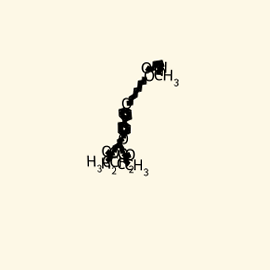 C=C(C)C(=O)OCC(COC(=O)C(=C)C)COc1ccc(-c2ccc(OCCCCCCCCOC(=O)c3ccnn3C)cc2)cc1